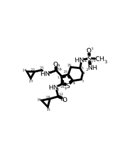 CS(=N)(=O)NC1CCc2sc(NC(=O)C3CC3)c(C(=O)NCC3CC3)c2C1